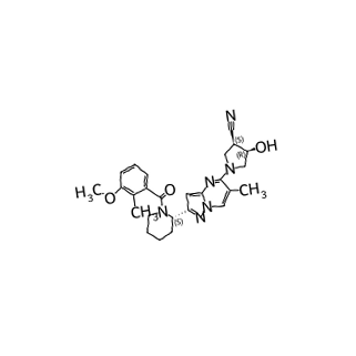 COc1cccc(C(=O)N2CCCC[C@H]2c2cc3nc(N4C[C@@H](C#N)[C@@H](O)C4)c(C)cn3n2)c1C